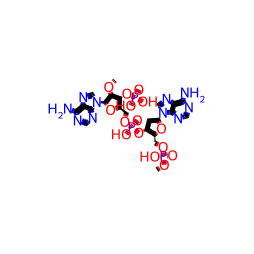 COC1[C@H](n2cnc3c(N)ncnc32)O[C@H](COP(=O)(O)O[C@H]2C[C@H](n3cnc4c(N)ncnc43)O[C@@H]2COP(=O)(O)OC)[C@H]1OP(=O)(O)O